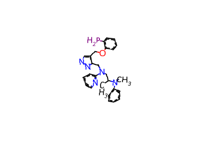 CC(CN(CC1N=NC=C1COc1ccccc1P)c1ccccn1)N(C)c1ccccc1